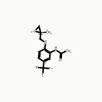 CC(=O)Nc1cc(C(F)(F)F)ccc1OC[C@@]1(C)CO1